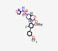 COc1cc(-c2cccc(OC(F)(F)F)c2)c(F)cc1N1C(=O)OC[C@@H]2CN(S(=O)(=O)Nc3ccon3)CC[C@H]21